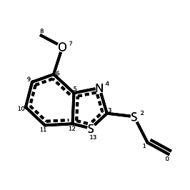 C=CSc1nc2c(OC)cccc2s1